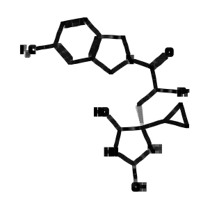 CC(C)C(C[C@]1(C2CC2)NC(O)NC1O)C(=O)N1Cc2ccc(C(F)(F)F)cc2C1